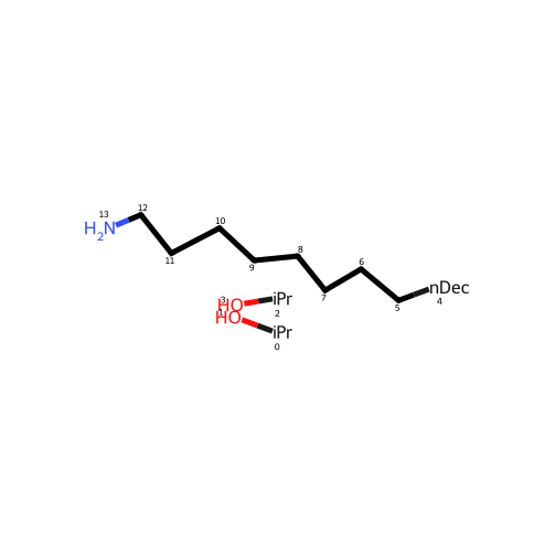 CC(C)O.CC(C)O.CCCCCCCCCCCCCCCCCCN